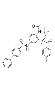 CC(=O)N1c2ccc(NC(=O)c3ccc(-c4ccccc4)cc3)cc2C(C)(C(=O)c2ccc(C)cc2)CC1(C)C